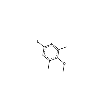 COc1c(C)cc(I)nc1I